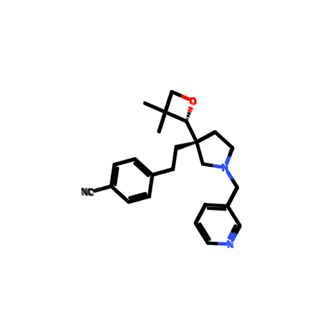 CC1(C)CO[C@@H]1[C@]1(CCc2ccc(C#N)cc2)CCN(Cc2cccnc2)C1